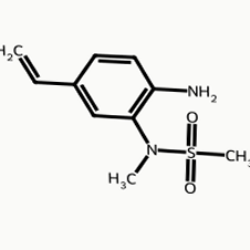 C=Cc1ccc(N)c(N(C)S(C)(=O)=O)c1